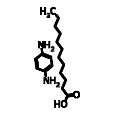 CCCCCCCCCCCC(=O)O.Nc1ccc(N)cc1